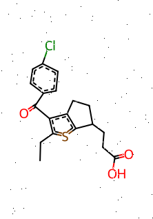 CCc1sc2c(c1C(=O)c1ccc(Cl)cc1)CCC2CCC(=O)O